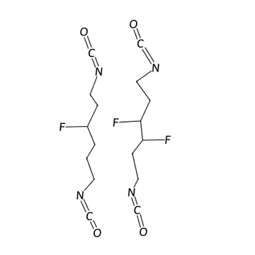 O=C=NCCC(F)C(F)CCN=C=O.O=C=NCCCC(F)CCN=C=O